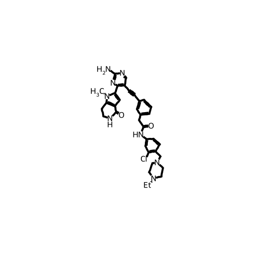 CCN1CCN(Cc2ccc(NC(=O)Cc3cccc(C#Cc4cnc(N)nc4-c4cc5c(n4C)CCNC5=O)c3)cc2Cl)CC1